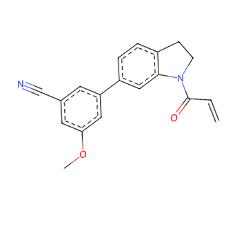 C=CC(=O)N1CCc2ccc(-c3cc(C#N)cc(OC)c3)cc21